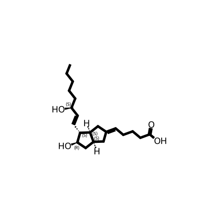 CCCCC[C@H](O)C=C[C@@H]1[C@H]2CC(=CCCCC(=O)O)C[C@H]2C[C@H]1O